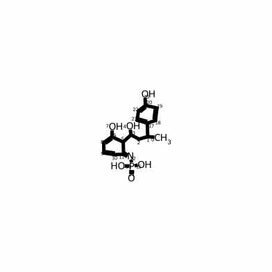 CC(CC(O)C1C(O)=CC=CC1=NP(=O)(O)O)c1ccc(O)cc1